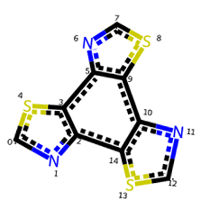 [c]1nc2c(s1)c1n[c]sc1c1n[c]sc21